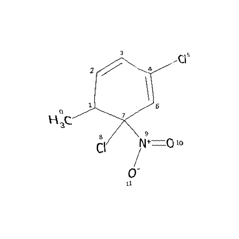 CC1C=CC(Cl)=CC1(Cl)[N+](=O)[O-]